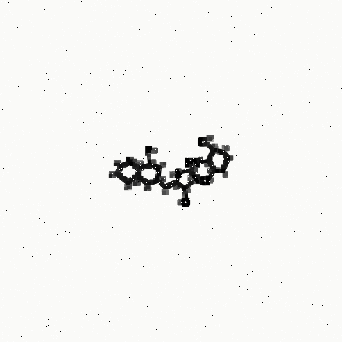 O=C1N=C(Nc2c(Cl)cccc2Cl)S/C1=C\c1cc(F)c2ncccc2c1